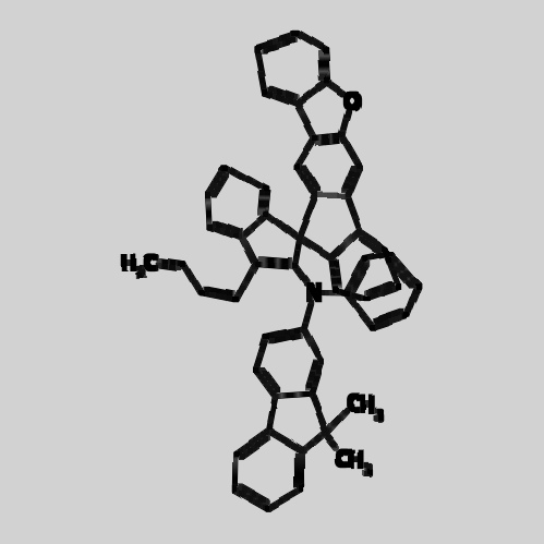 C=C/C=C\C1=C(N(c2ccccc2)c2ccc3c(c2)C(C)(C)c2ccccc2-3)C2(c3ccccc31)c1ccccc1-c1cc3oc4ccccc4c3cc12